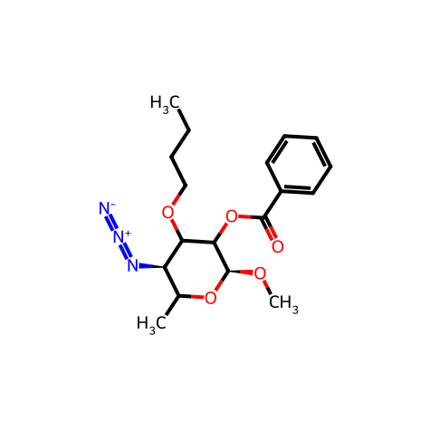 CCCCOC1C(OC(=O)c2ccccc2)[C@@H](OC)OC(C)[C@H]1N=[N+]=[N-]